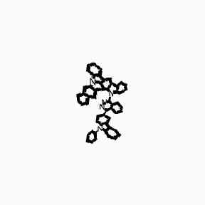 c1ccc(-n2c3ccccc3c3cc(-c4nnc(-n5c6ccccc6c6cc7c8ccccc8n8c9cc%10ccccc%10cc9c(c65)c78)c5ccccc45)ccc32)cc1